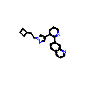 c1cnc(-c2ccc3cccnc3c2)c(-c2cnn(CCC3CCC3)c2)c1